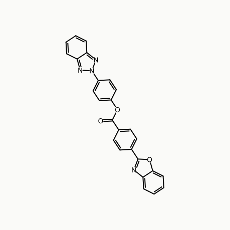 O=C(Oc1ccc(-n2nc3ccccc3n2)cc1)c1ccc(-c2nc3ccccc3o2)cc1